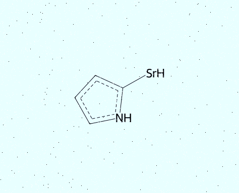 [SrH][c]1ccc[nH]1